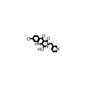 O=c1c2ccc(Cl)cc2[nH]c2c(O)nn(Cc3cccnc3)c(=O)c12